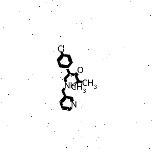 CC(C)C(=O)C(CNCc1cccnc1)c1ccc(Cl)cc1